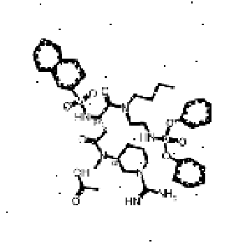 CC(=O)O.CCCCN(CCNP(=O)(Oc1ccccc1)Oc1ccccc1)C(=O)[C@H](CC(=O)N(C)[C@H]1CCCN(C(=N)N)C1)NS(=O)(=O)c1ccc2ccccc2c1